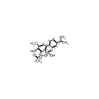 CC(=O)Nc1c(O)c(C)cc(-c2ccc(N(C)C)cc2)c1[As](=O)(O)O